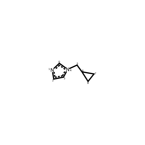 [c]1nccn1CC1CC1